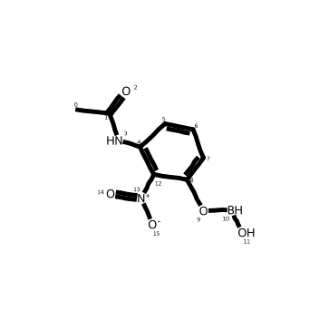 CC(=O)Nc1cccc(OBO)c1[N+](=O)[O-]